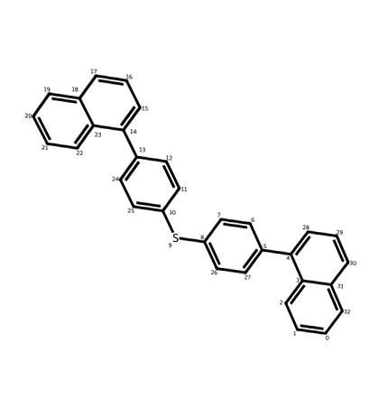 c1ccc2c(-c3ccc(Sc4ccc(-c5cccc6ccccc56)cc4)cc3)cccc2c1